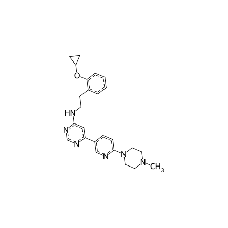 CN1CCN(c2ccc(-c3cc(NCCc4ccccc4OC4CC4)ncn3)cn2)CC1